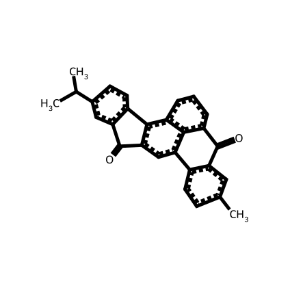 Cc1ccc2c(c1)C(=O)c1cccc3c4c(cc-2c13)C(=O)c1cc(C(C)C)ccc1-4